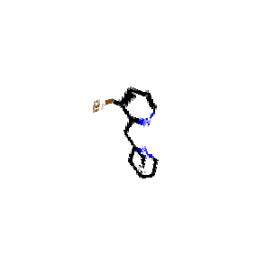 Brc1cccnc1CC1CC2CCN1CC2